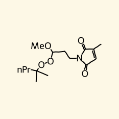 CCCC(C)(C)OOC(CCN1C(=O)C=C(C)C1=O)OC